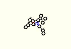 CC1(C)CCC(C)(C)c2cc(-c3cc4c(cc3N(c3ccc(-c5ccc6ccccc6c5)cc3)c3ccc(-c5ccc6ccccc6c5)cc3)C(c3ccccc3)(c3ccccc3)c3ccccc3-4)ccc21